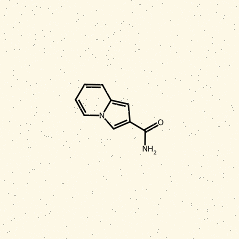 NC(=O)c1cc2ccccn2c1